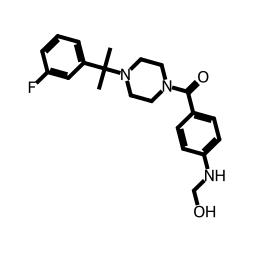 CC(C)(c1cccc(F)c1)N1CCN(C(=O)c2ccc(NCO)cc2)CC1